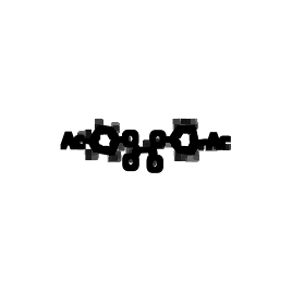 CC(=O)c1ccc(OC(=O)C(=O)Oc2ccc(C(C)=O)cc2)cc1